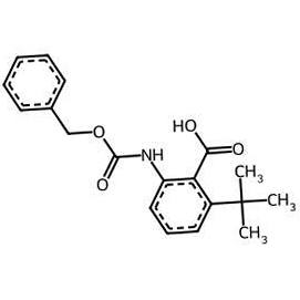 CC(C)(C)c1cccc(NC(=O)OCc2ccccc2)c1C(=O)O